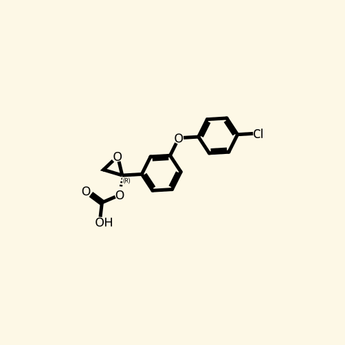 O=C(O)O[C@]1(c2cccc(Oc3ccc(Cl)cc3)c2)CO1